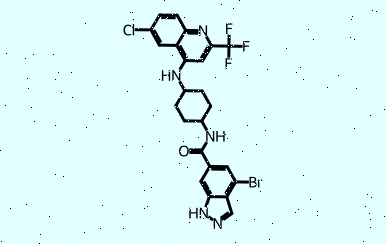 O=C(NC1CCC(Nc2cc(C(F)(F)F)nc3ccc(Cl)cc23)CC1)c1cc(Br)c2cn[nH]c2c1